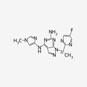 C[C@@H](c1ncc(F)cn1)n1ncc2c(Nc3cn(C)cn3)nc(N)nc21